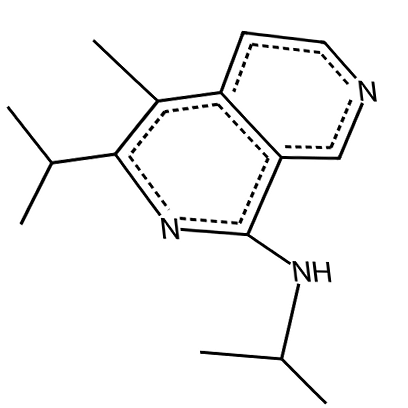 Cc1c(C(C)C)nc(NC(C)C)c2cnccc12